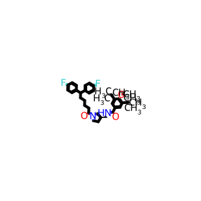 COc1c(C(C)(C)C)cc(C(=O)NC[C@H]2CCN(C(=O)CCCCC(c3ccc(F)cc3)c3ccc(F)cc3)C2)cc1C(C)(C)C